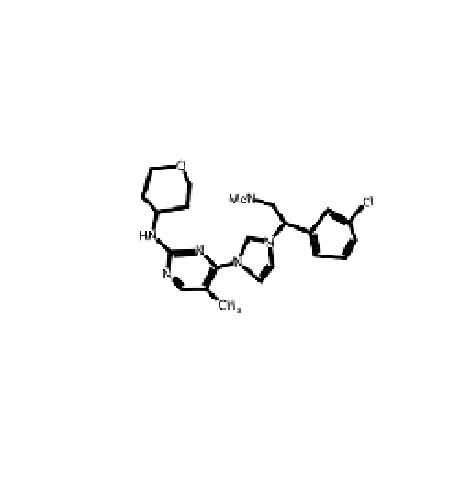 CNCC(c1cccc(Cl)c1)N1C=CN(c2nc(NC3CCOCC3)ncc2C)C1